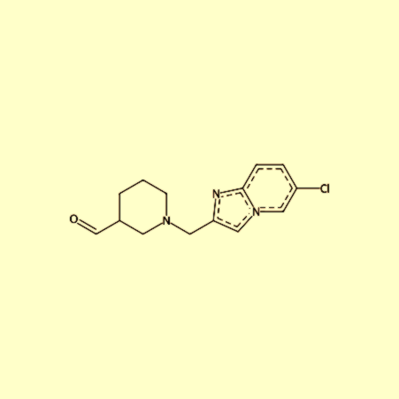 O=CC1CCCN(Cc2cn3cc(Cl)ccc3n2)C1